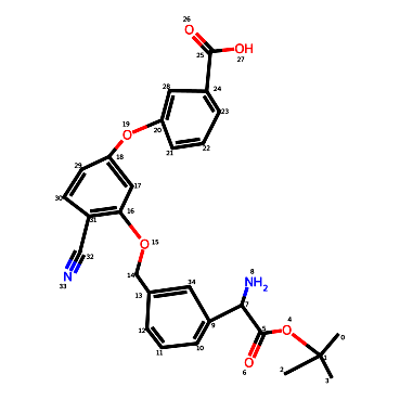 CC(C)(C)OC(=O)C(N)c1cccc(COc2cc(Oc3cccc(C(=O)O)c3)ccc2C#N)c1